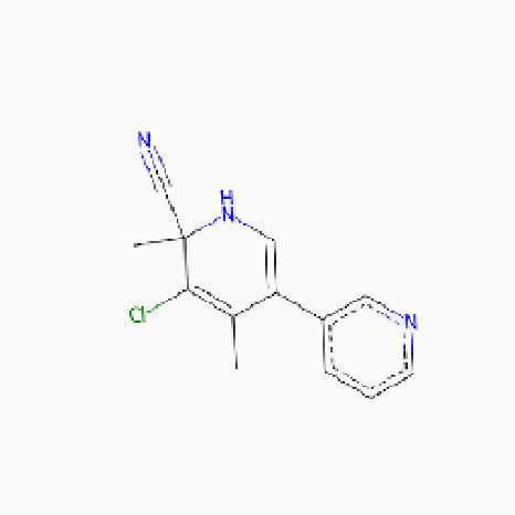 CC1=C(Cl)C(C)(C#N)NC=C1c1cccnc1